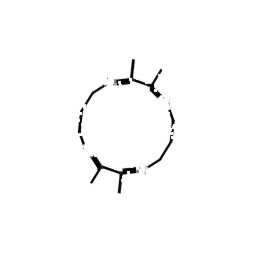 CC1=NCCCN=C(C)C(C)=NCCCN=C1C